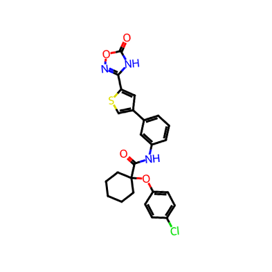 O=C(Nc1cccc(-c2csc(-c3noc(=O)[nH]3)c2)c1)C1(Oc2ccc(Cl)cc2)CCCCC1